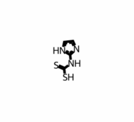 S=C(S)Nc1ncc[nH]1